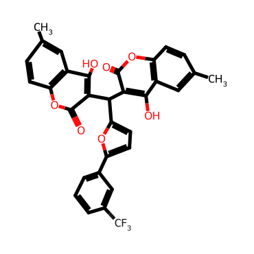 Cc1ccc2oc(=O)c(C(c3ccc(-c4cccc(C(F)(F)F)c4)o3)c3c(O)c4cc(C)ccc4oc3=O)c(O)c2c1